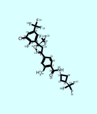 Cc1cc(C2=NO[C@@](c3cc(C(F)(F)F)cc(Cl)c3F)(C(F)(F)F)C2)ccc1C(=O)N[C@H]1C[C@H](C(F)(F)F)C1